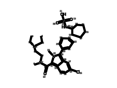 CCN(CC)CCN(C)C(=O)c1c2ccc(Cl)cc2c(-c2ccccc2)n1C.O=S(=O)(O)NC1CCCCC1